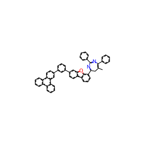 CC1=C(c2ccccc2)N=C(c2ccccc2)N=C(c2cccc3c2oc2cc(-c4cccc(-c5ccc6c7ccccc7c7ccccc7c6c5)c4)ccc23)C1